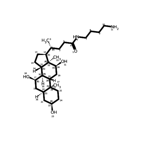 C[C@H](CCC(=O)NCCCCN)[C@@H]1CC[C@H]2[C@@H]3[C@H](O)C[C@@H]4C[C@H](O)CC[C@]4(C)[C@H]3C[C@H](O)[C@@]21C